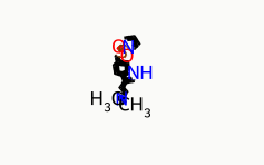 CN(C)CCc1c[nH]c2cc(CS(=O)(=O)N3CCCC3)ccc12